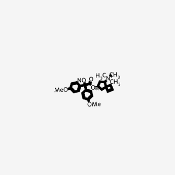 COc1ccc(C(N=O)(C(=O)O[C@H]2CC([N+](C)(C)C)C3(C=CC3)C2)c2ccc(OC)cc2)cc1